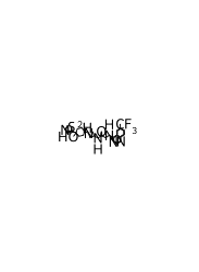 [2H]C1(N2CC(NC(=O)CNc3ncnc4ccc(C(F)(F)F)cc34)C2)CCC(O)(c2cncs2)CC1